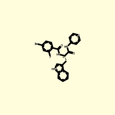 O=C(N[C@@H](Cc1c[nH]c2ccccc12)C(=O)Nc1ccncc1)c1ccc(Br)cc1F